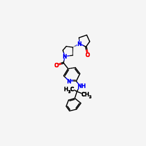 CC(C)(Nc1ccc(C(=O)N2CC[C@H](N3CCCC3=O)C2)cn1)c1ccccc1